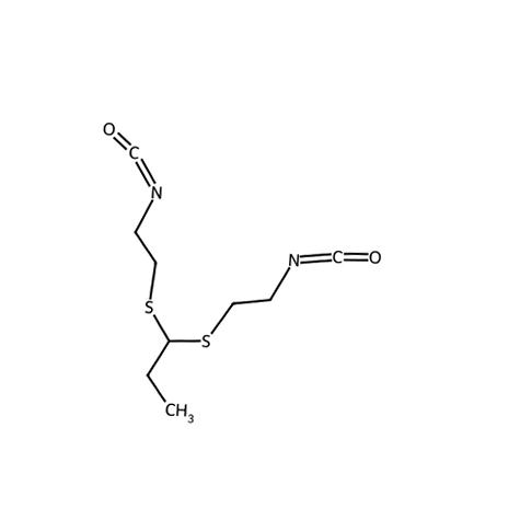 CCC(SCCN=C=O)SCCN=C=O